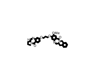 COc1cc2c(cc1OCCCOc1ccc3c(c1)N=C[C@@H]1CCCN1C3=O)N=CC1Cc3ccccc3CN1C2=O